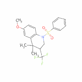 COc1ccc2c(c1)C(C)(C)C(C(F)(F)F)CN2S(=O)(=O)c1ccccc1